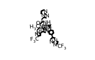 CC(C)(Cn1nc(C(F)(F)F)cc1-c1cn[nH]n1)NC(=O)[C@@H](Cc1cnc2ncccn12)NC(=O)[C@H]1C[C@@H]1c1ccc(-c2cnc3nc(C(F)(F)F)cn3c2)cc1